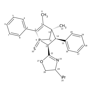 CC1=C(c2ccccc2)[P@]2(=S)C[C@]1(C)[C@@H](c1ccccc1)[C@H]2C1=NC(C(C)C)CO1